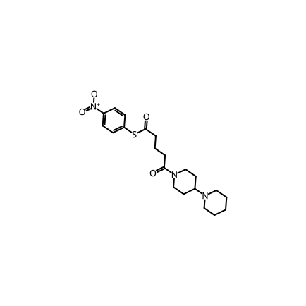 O=C(CCCC(=O)N1CCC(N2CCCCC2)CC1)Sc1ccc([N+](=O)[O-])cc1